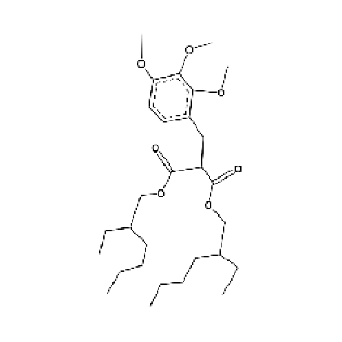 CCCCC(CC)COC(=O)C(Cc1ccc(OC)c(OC)c1OC)C(=O)OCC(CC)CCCC